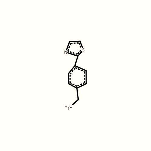 CCc1ccc(-c2nccs2)cc1